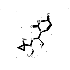 CC(=O)OC[C@@H](O[C@H](CF)n1ccc(=O)[nH]c1=O)C1(OC(C)=O)CC1